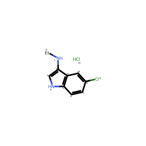 CCNc1c[nH]c2ccc(Cl)cc12.Cl